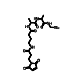 CC(NC(=O)CCCNC(=O)CCN1C(=O)C=CC1=O)C(=O)NC(C)C(=O)NCC(C)(C)C